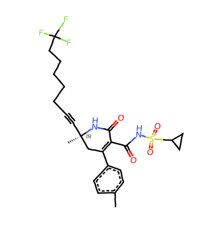 Cc1ccc(C2=C(C(=O)NS(=O)(=O)C3CC3)C(=O)N[C@](C)(C#CCCCCCC(F)(F)F)C2)cc1